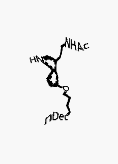 CCCCCCCCCCCCCCOc1ccc2[nH]cc(CCNC(C)=O)c2c1